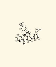 CO[C@H]1CC[C@H](C(=O)N2Cc3cccnc3Nc3ccc(N4CCOC(C5CC5)C4)cc32)CC1